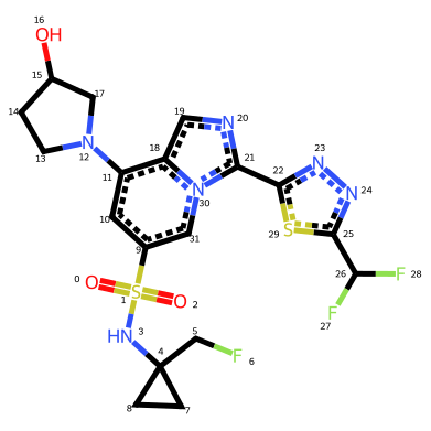 O=S(=O)(NC1(CF)CC1)c1cc(N2CCC(O)C2)c2cnc(-c3nnc(C(F)F)s3)n2c1